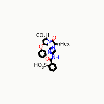 CCCCCCC(C(=O)N1C[C@@H](Oc2ccccc2)C[C@H]1C(=O)O)n1cnc(NC(=O)c2ccccc2S(=O)(=O)O)c1